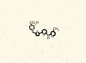 Cc1ccnc(Nc2cccc(-c3ccc(CN4CCC(C(=O)O)CC4)s3)n2)c1